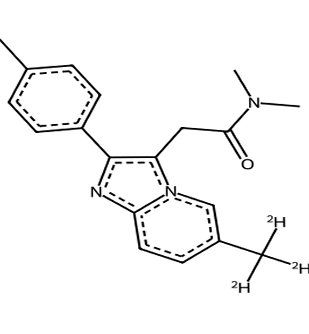 [2H]C([2H])([2H])c1ccc2nc(-c3ccc(C)cc3)c(CC(=O)N(C)C)n2c1